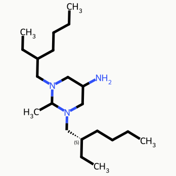 CCCCC(CC)CN1CC(N)CN(C[C@@H](CC)CCCC)C1C